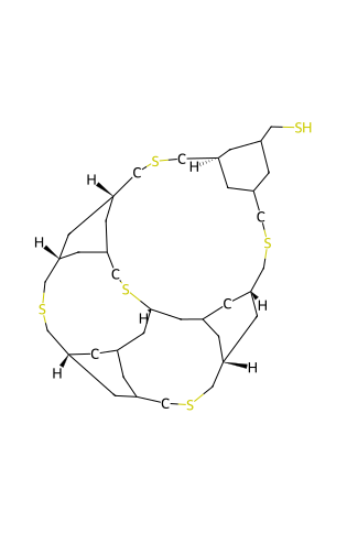 SCC1CC2CSC[C@H]3CC4C[C@@H](CSCC5CC6C[C@@H](CSC[C@H]7CC(CS[C@@H](C6)C4)C[C@@H](CSC[C@@H](C1)C2)C7)C5)C3